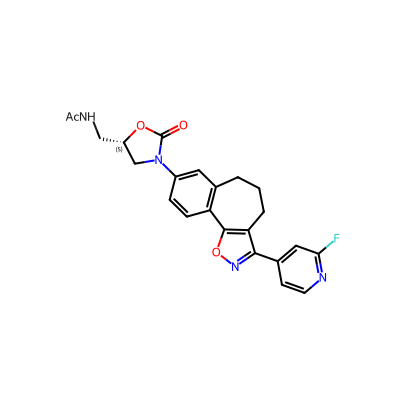 CC(=O)NC[C@H]1CN(c2ccc3c(c2)CCCc2c(-c4ccnc(F)c4)noc2-3)C(=O)O1